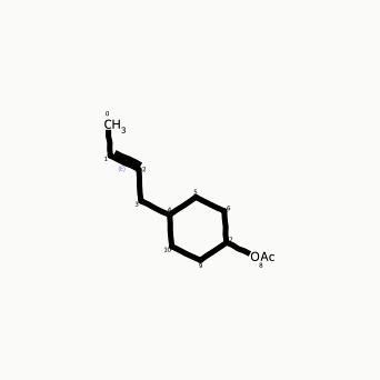 C/C=C/CC1CCC(OC(C)=O)CC1